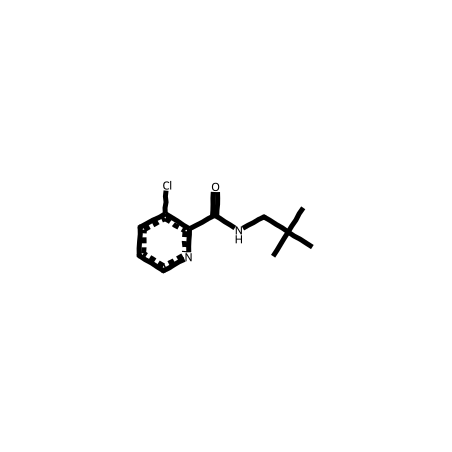 CC(C)(C)CNC(=O)c1ncccc1Cl